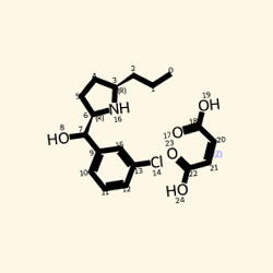 CCC[C@@H]1CC[C@H](C(O)c2cccc(Cl)c2)N1.O=C(O)/C=C\C(=O)O